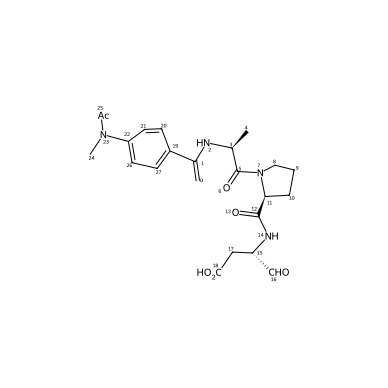 C=C(N[C@@H](C)C(=O)N1CCC[C@H]1C(=O)N[C@H](C=O)CC(=O)O)c1ccc(N(C)C(C)=O)cc1